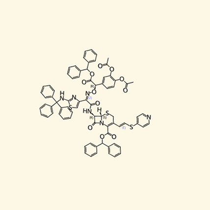 CC(=O)Oc1ccc([C@@H](O/N=C(\C(=O)N[C@@H]2C(=O)N3C(C(=O)OC(c4ccccc4)c4ccccc4)=C(/C=C/Sc4ccncc4)CS[C@@H]23)c2csc(NC(c3ccccc3)(c3ccccc3)c3ccccc3)n2)C(=O)OC(c2ccccc2)c2ccccc2)cc1OC(C)=O